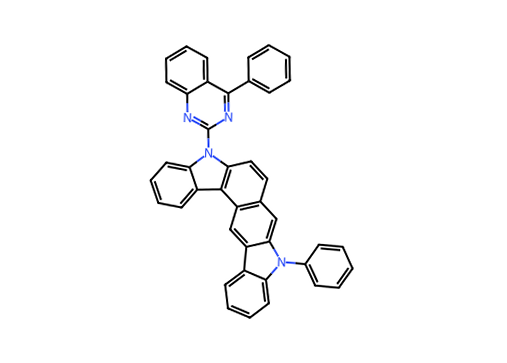 c1ccc(-c2nc(-n3c4ccccc4c4c5cc6c7ccccc7n(-c7ccccc7)c6cc5ccc43)nc3ccccc23)cc1